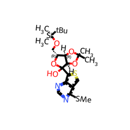 CSc1ncnc2c(C3(O)O[C@H](CO[Si](C)(C)C(C)(C)C)[C@H]4OC(C)(C)O[C@H]43)scc12